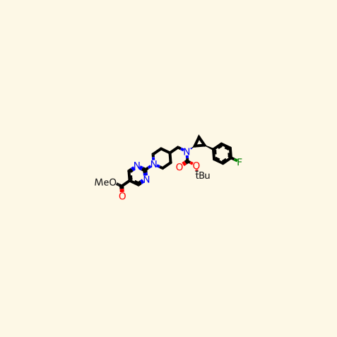 COC(=O)c1cnc(N2CCC(CN(C(=O)OC(C)(C)C)[C@@H]3C[C@H]3c3ccc(F)cc3)CC2)nc1